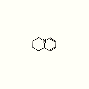 C1=CC2CCCCN2C=C1